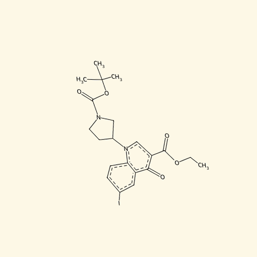 CCOC(=O)c1cn(C2CCN(C(=O)OC(C)(C)C)C2)c2ccc(I)cc2c1=O